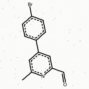 Cc1cc(-c2ccc(Br)cc2)cc(C=O)n1